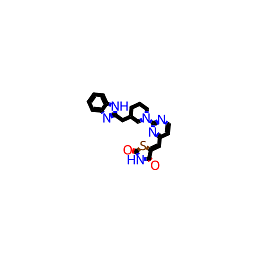 O=C1NC(=O)C(=Cc2ccnc(N3CCCC(Cc4nc5ccccc5[nH]4)C3)n2)S1